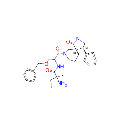 CCC(C)(N)C(=O)NC(COCc1ccccc1)C(=O)N1CCC[C@@]2(C1)C(=O)N(C)C[C@H]2c1ccccc1